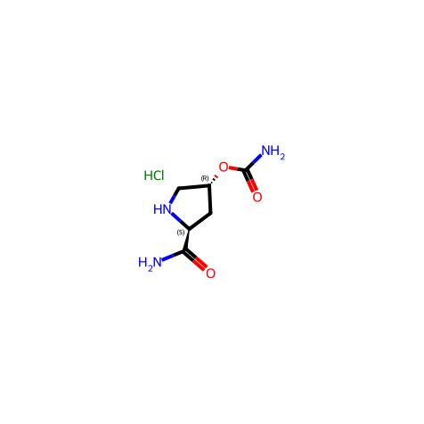 Cl.NC(=O)O[C@H]1CN[C@H](C(N)=O)C1